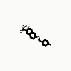 COC(=O)c1ccc2cc(OCc3ccc(C)cc3)ccc2c1